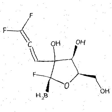 B[C@]1(F)O[C@H](CO)[C@H](O)C1(O)C=C=C(F)F